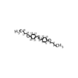 CCCCOc1ccc(SSc2ccc(OCCCC)cc2)cc1